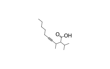 CCCCCC#CC(C)C(C(=O)O)C(C)C